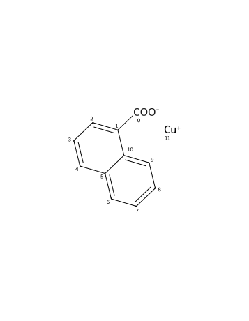 O=C([O-])c1cccc2ccccc12.[Cu+]